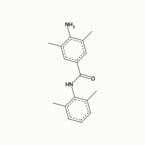 Cc1cc(C(=O)Nc2c(C)cccc2C)cc(C)c1N